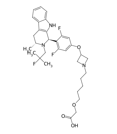 C[C@@H]1Cc2c([nH]c3ccccc23)[C@@H](c2c(F)cc(OC3CN(CCCCCOCC(=O)O)C3)cc2F)N1CC(C)(C)F